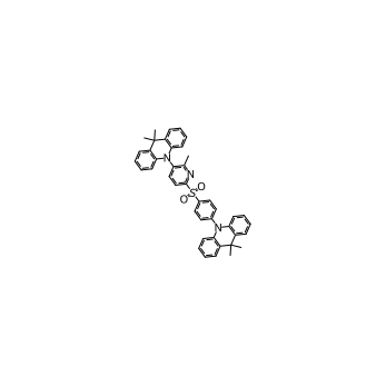 Cc1nc(S(=O)(=O)c2ccc(N3c4ccccc4C(C)(C)c4ccccc43)cc2)ccc1N1c2ccccc2C(C)(C)c2ccccc21